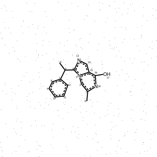 Cc1cn2c(C(C)c3ccccc3)ncc2c(O)n1